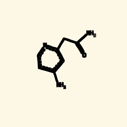 NC(=O)Cc1cc(N)ccn1